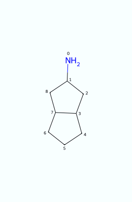 NC1CC2CCCC2C1